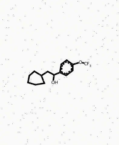 OC(CC1CCCCC1)c1ccc(OC(F)(F)F)cc1